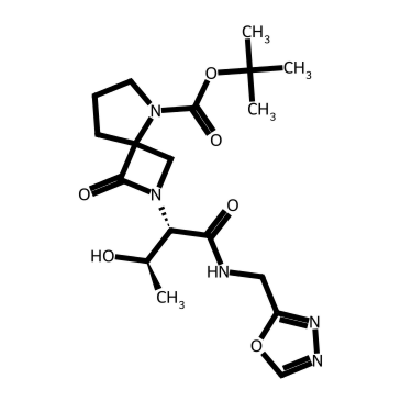 C[C@@H](O)[C@@H](C(=O)NCc1nnco1)N1CC2(CCCN2C(=O)OC(C)(C)C)C1=O